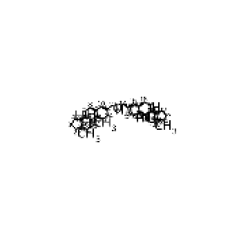 C[C@@]12CCC[C@H]1[C@@H]1CC=C3C=C(COCC4=CC5=CC[C@H]6[C@@H]7CCC[C@@]7(C)CC[C@@H]6[C@@]5(C)CC4)CC[C@]3(C)[C@H]1CC2